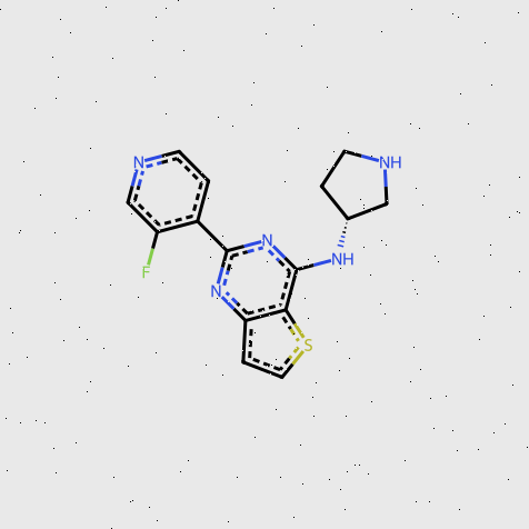 Fc1cnccc1-c1nc(N[C@@H]2CCNC2)c2sccc2n1